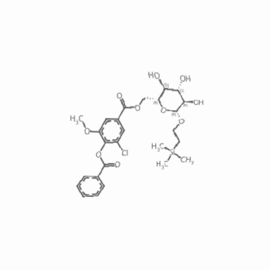 COc1cc(C(=O)OC[C@H]2O[C@@H](OCC[Si](C)(C)C)[C@H](O)[C@@H](O)[C@@H]2O)cc(Cl)c1OC(=O)c1ccccc1